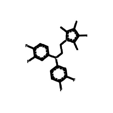 Cc1c(C)c(C)p(CCP(c2ccc(F)c(F)c2)c2ccc(F)c(F)c2)c1C